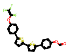 O=COc1ccc(-c2ccc(-c3ccc(-c4ccc(OC(F)=C(F)F)cc4)s3)s2)cc1